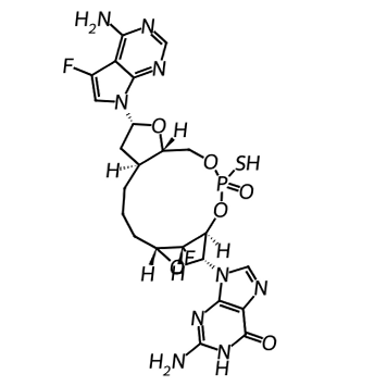 Nc1nc2c(ncn2[C@@H]2O[C@@H]3CCC[C@H]4C[C@H](n5cc(F)c6c(N)ncnc65)O[C@@H]4COP(=O)(S)O[C@@H]2[C@@H]3F)c(=O)[nH]1